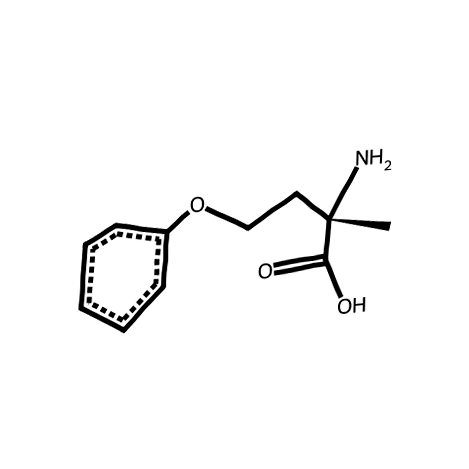 C[C@](N)(CCOc1ccccc1)C(=O)O